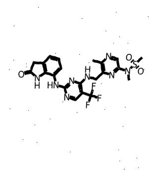 Cc1ncc(N(C)S(C)(=O)=O)nc1CNc1nc(Nc2cccc3c2NC(=O)C3)ncc1C(F)(F)F